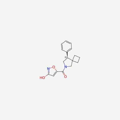 O=C(c1cc(O)no1)N1C[C@@H](c2ccccc2)C2(CCC2)C1